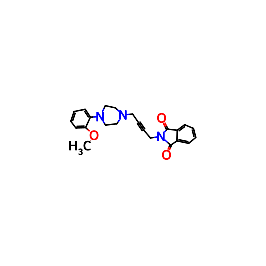 COc1ccccc1N1CCN(CC#CCN2C(=O)c3ccccc3C2=O)CC1